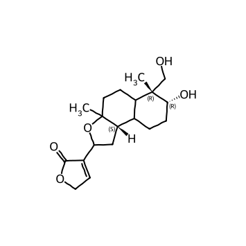 CC12CCC3C(CC[C@@H](O)[C@@]3(C)CO)[C@@H]1CC(C1=CCOC1=O)O2